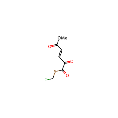 COC(=O)/C=C/C(=O)C(=O)SCF